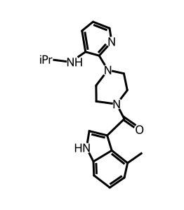 Cc1cccc2[nH]cc(C(=O)N3CCN(c4ncccc4NC(C)C)CC3)c12